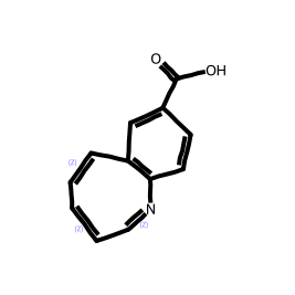 O=C(O)c1ccc2c(c1)\C=C/C=C\C=N/2